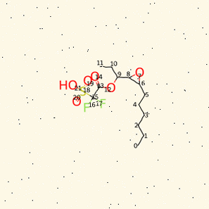 CCCCCCC1OC1C(CC)OC(=O)C(F)(F)S(=O)(=O)O